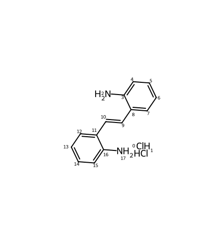 Cl.Cl.Nc1ccccc1/C=C/c1ccccc1N